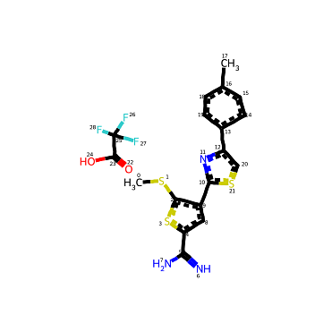 CSc1sc(C(=N)N)cc1-c1nc(-c2ccc(C)cc2)cs1.O=C(O)C(F)(F)F